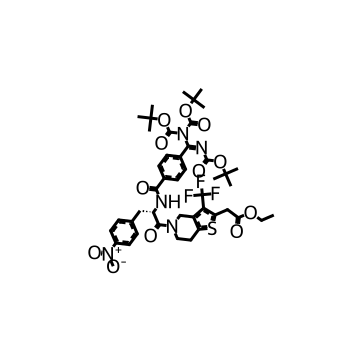 CCOC(=O)Cc1sc2c(c1C(F)(F)F)CN(C(=O)[C@H](Cc1ccc([N+](=O)[O-])cc1)NC(=O)c1ccc(C(=NC(=O)OC(C)(C)C)N(C(=O)OC(C)(C)C)C(=O)OC(C)(C)C)cc1)CC2